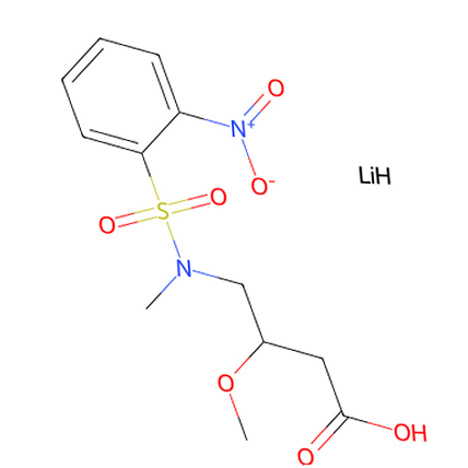 COC(CC(=O)O)CN(C)S(=O)(=O)c1ccccc1[N+](=O)[O-].[LiH]